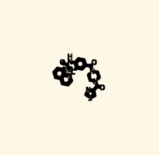 O=C(c1ccc(NS(=O)(=O)c2cccc3cccnc23)c(C(F)(F)F)c1)N1CCN(C(=O)c2cscn2)CC1